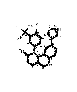 O=c1ccc2cnc3ccc(-c4cn[nH]c4)cc3c2n1-c1ccc(F)c(C(F)(F)F)c1